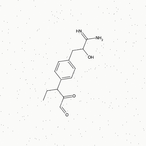 CC[C](C(=O)C=O)c1ccc(CC(O)C(=N)N)cc1